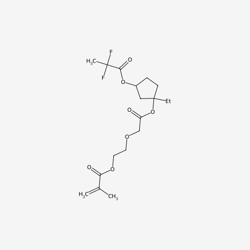 C=C(C)C(=O)OCCOCC(=O)OC1(CC)CCC(OC(=O)C(C)(F)F)C1